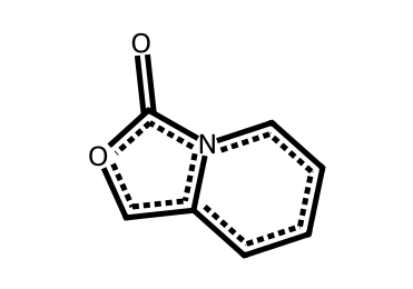 O=c1occ2ccccn12